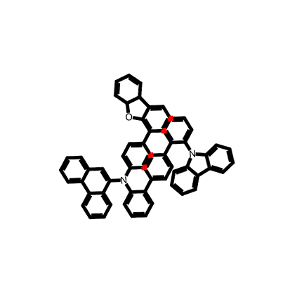 C1=CC2Oc3c(-c4ccc(N(c5ccccc5-c5ccc(-c6ccccc6-n6c7ccccc7c7ccccc76)cc5)c5cc6ccccc6c6ccccc56)cc4)cccc3C2C=C1